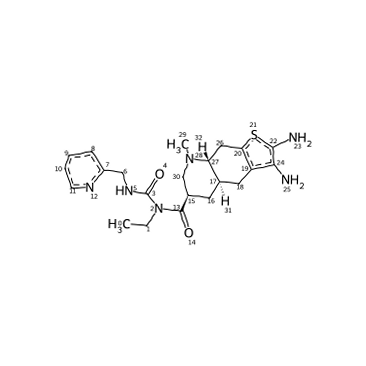 CCN(C(=O)NCc1ccccn1)C(=O)[C@@H]1C[C@@H]2Cc3c(sc(N)c3N)C[C@H]2N(C)C1